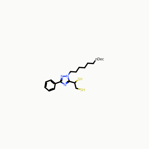 CCCCCCCCCCCCCCCCn1nc(-c2ccccc2)nc1C(S)CS